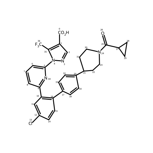 O=C(O)c1cnn(-c2cccc(-c3cc(Cl)ccc3-c3ccc(C4CCN(C(=O)C5CC5)CC4)cc3)n2)c1C(F)(F)F